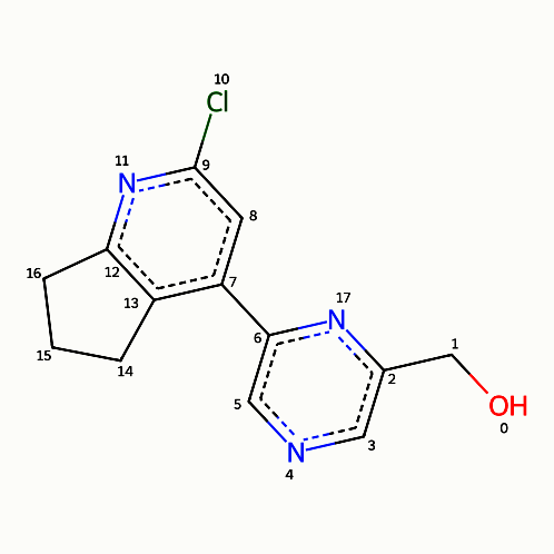 OCc1cncc(-c2cc(Cl)nc3c2CCC3)n1